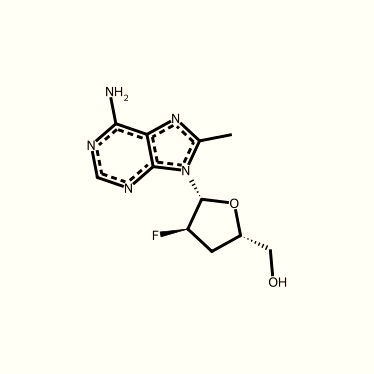 Cc1nc2c(N)ncnc2n1[C@@H]1O[C@H](CO)C[C@H]1F